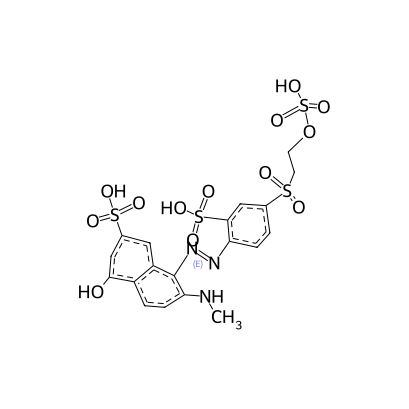 CNc1ccc2c(O)cc(S(=O)(=O)O)cc2c1/N=N/c1ccc(S(=O)(=O)CCOS(=O)(=O)O)cc1S(=O)(=O)O